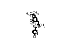 COc1cc(CC(C)(C)NC(=O)c2ccc(Cl)nc2)cc2c1OC(C)(C)C2